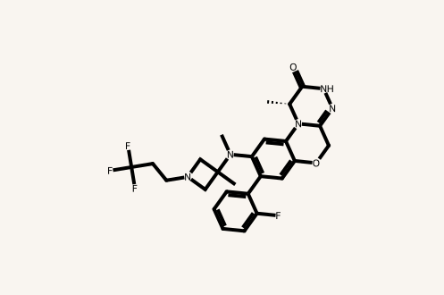 C[C@@H]1C(=O)NN=C2COc3cc(-c4ccccc4F)c(N(C)C4(C)CN(CCC(F)(F)F)C4)cc3N21